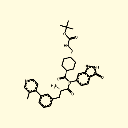 Cc1cnccc1-c1cccc(C[C@H](N)C(=O)N(c2ccc3c(=O)[nH][nH]c3c2)C(=O)[C@H]2CC[C@H](CNC(=O)OC(C)(C)C)CC2)c1